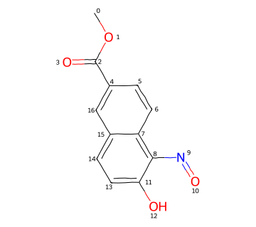 COC(=O)c1ccc2c(N=O)c(O)ccc2c1